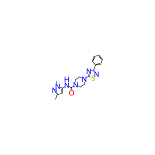 Cc1cc(NC(=O)N2CCN(c3nc(-c4ccccc4)ns3)CC2)n(C)n1